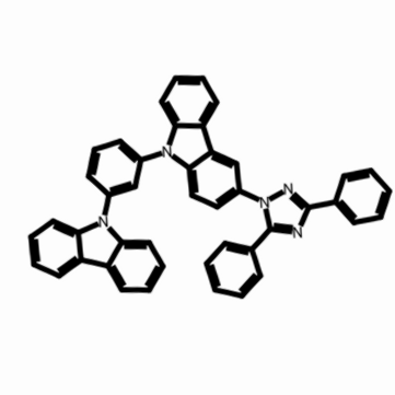 c1ccc(-c2nc(-c3ccccc3)n(-c3ccc4c(c3)c3ccccc3n4-c3cccc(-n4c5ccccc5c5ccccc54)c3)n2)cc1